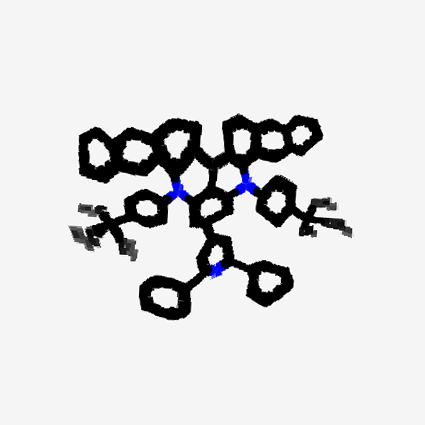 CC(C)(C)c1ccc(N2c3cc(-c4cc(-c5ccccc5)nc(-c5ccccc5)c4)cc4c3B(c3ccc5cc6ccccc6cc5c32)c2ccc3cc5ccccc5cc3c2N4c2ccc(C(C)(C)C)cc2)cc1